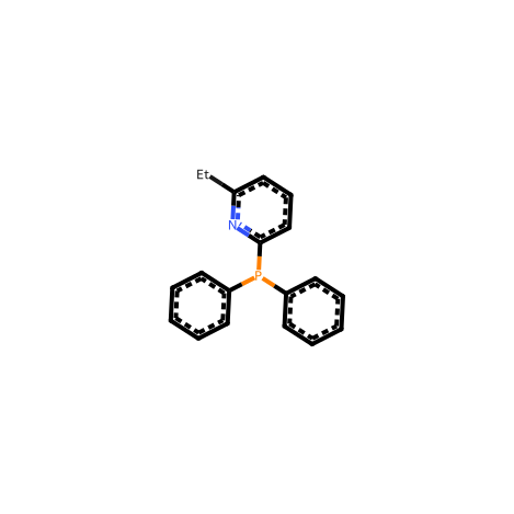 CCc1cccc(P(c2ccccc2)c2ccccc2)n1